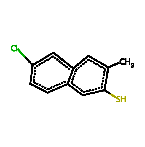 Cc1cc2cc(Cl)ccc2cc1S